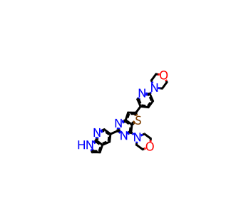 c1cc2cc(-c3nc(N4CCOCC4)c4sc(-c5ccc(N6CCOCC6)nc5)cc4n3)cnc2[nH]1